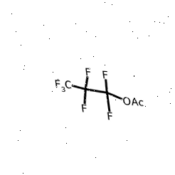 CC(=O)OC(F)(F)C(F)(F)C(F)(F)F